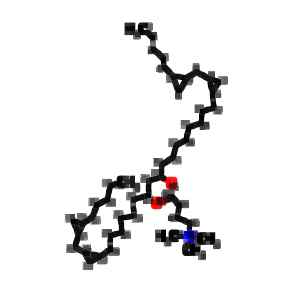 CCCCCC1CC1CC1CC1CCCCCCCCC(CCCCCCCCC1CC1CC1CC1CCCCC)OC(=O)CCC[N+](C)(C)C